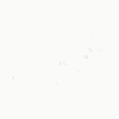 CN1N=C(C(=O)Nc2cnc(Cc3cccc(F)c3)s2)CCC1=O